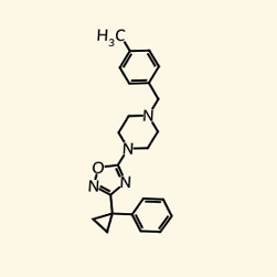 Cc1ccc(CN2CCN(c3nc(C4(c5ccccc5)CC4)no3)CC2)cc1